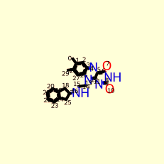 Cc1cc2nc3c(=O)[nH]c(=O)nc-3n(CCNC3Cc4ccccc4C3)c2cc1C